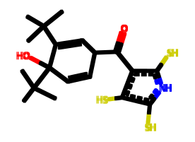 CC(C)(C)C1=CC(C(=O)c2c(S)[nH]c(S)c2S)C=CC1(O)C(C)(C)C